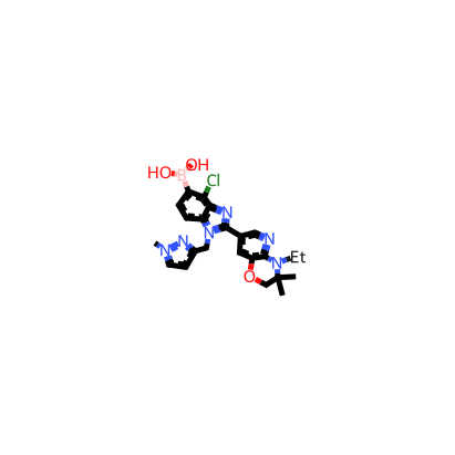 CCN1c2ncc(-c3nc4c(Cl)c(B(O)O)ccc4n3Cc3ccn(C)n3)cc2OCC1(C)C